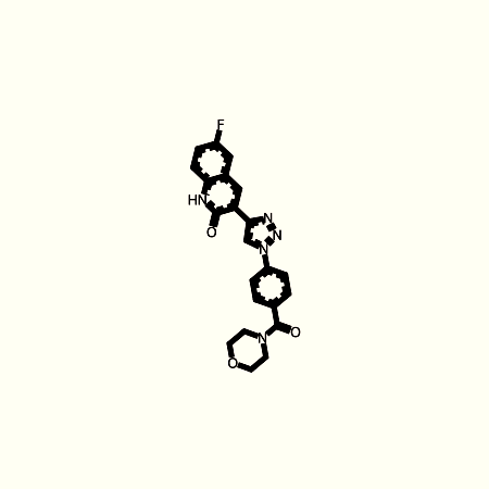 O=C(c1ccc(-n2cc(-c3cc4cc(F)ccc4[nH]c3=O)nn2)cc1)N1CCOCC1